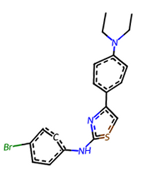 CCN(CC)c1ccc(-c2csc(Nc3ccc(Br)cc3)n2)cc1